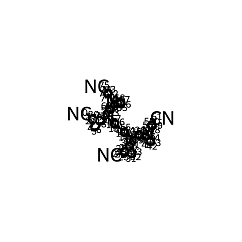 N#CC1=CC2=CC=CC3=CC(N(c4ccc(-c5ccc(N(c6cc7c8c(cc(C#N)cc8c6)CC=C7)c6ccc7c(c6)c6ccccc6n7-c6ccc(C#N)cc6)cc5)cc4)c4ccc5c(c4)c4ccccc4n5-c4ccc(C#N)cc4)=CC(=C1)C23